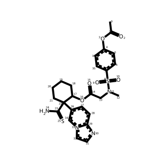 CC(=O)Oc1ccc(S(=O)(=O)N(C)CC(=O)OC2CCCCC2(C(N)=S)c2ccc3nccn3c2)cc1